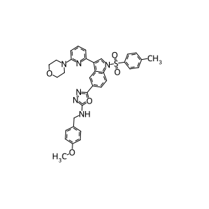 COc1ccc(CNc2nnc(-c3ccc4c(c3)c(-c3cccc(N5CCOCC5)n3)cn4S(=O)(=O)c3ccc(C)cc3)o2)cc1